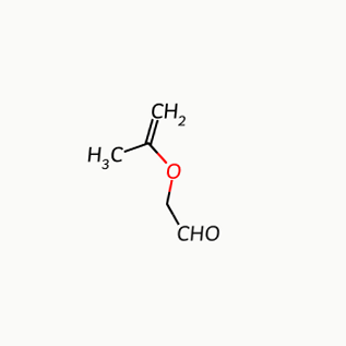 C=C(C)OCC=O